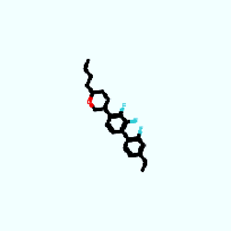 CCCCC1CCC(c2ccc(-c3ccc(CC)cc3F)c(F)c2F)CO1